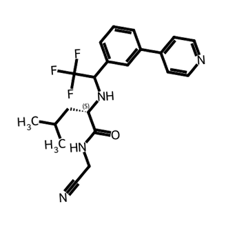 CC(C)C[C@H](NC(c1cccc(-c2ccncc2)c1)C(F)(F)F)C(=O)NCC#N